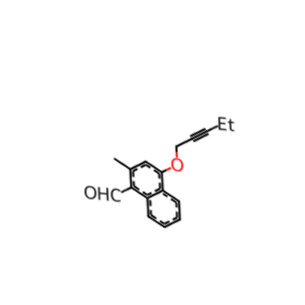 CCC#CCOc1cc(C)c(C=O)c2ccccc12